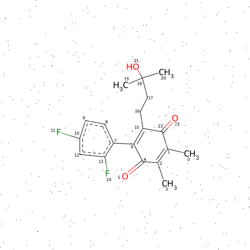 CC1=C(C)C(=O)C(c2ccc(F)cc2F)=C(CCC(C)(C)O)C1=O